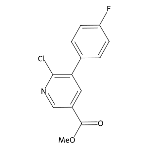 COC(=O)c1cnc(Cl)c(-c2ccc(F)cc2)c1